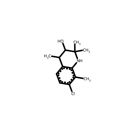 Cc1c(Cl)ccc2c1NC(C)(C)C(O)C2C